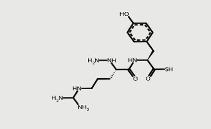 NN[C@@H](CCCNC(N)N)C(=O)N[C@@H](Cc1ccc(O)cc1)C(=O)S